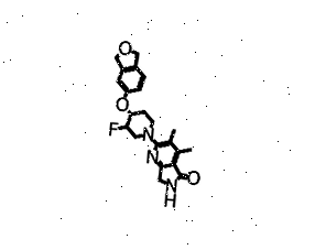 Cc1c(N2CCC(Oc3ccc4c(c3)COC4)C(F)C2)nc2c(c1C)C(=O)NC2